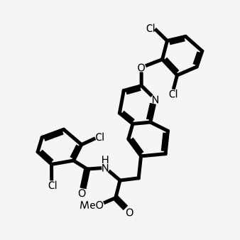 COC(=O)C(Cc1ccc2nc(Oc3c(Cl)cccc3Cl)ccc2c1)NC(=O)c1c(Cl)cccc1Cl